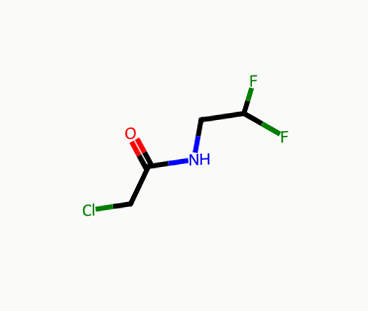 O=C(CCl)NCC(F)F